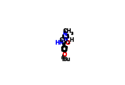 CC[C@H](C)COc1ccc([C@@H](NC(=O)O)C(=O)N2CCN(C)CC2)cc1